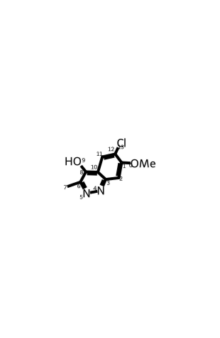 COc1cc2nnc(C)c(O)c2cc1Cl